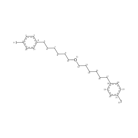 Ic1ccc(CCCCCCOCCCCCCc2ccc(I)cc2)cc1